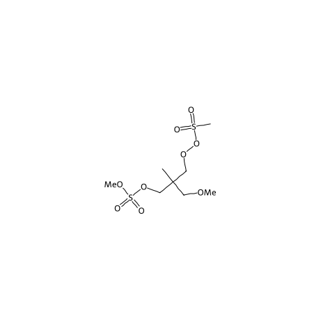 COCC(C)(COOS(C)(=O)=O)COS(=O)(=O)OC